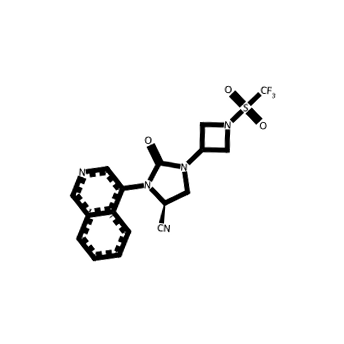 N#C[C@@H]1CN(C2CN(S(=O)(=O)C(F)(F)F)C2)C(=O)N1c1cncc2ccccc12